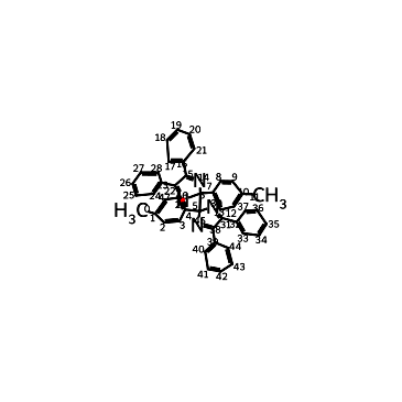 Cc1ccc(C2(C3(c4ccc(C)cc4)N=C(c4ccccc4)C(c4ccccc4)=N3)N=C(c3ccccc3)C(c3ccccc3)=N2)cc1